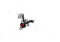 CC(C)(CCN=[N+]=[N-])C[C@@H]1N[C@@H](C(=O)NCC[C@H](O)CO)[C@H](c2cccc(Cl)c2F)[C@@]1(C#N)c1ccc(Cl)cc1F